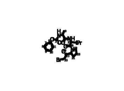 CC(NC(=O)Oc1ccccc1)C(=O)NC(C(=O)N1CCCC1C(=O)CBr)C(C)C